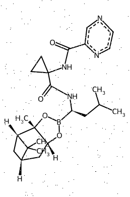 CC(C)C[C@H](NC(=O)C1(NC(=O)c2cnccn2)CC1)B1O[C@@H]2C[C@@H]3C[C@@H](C3(C)C)[C@]2(C)O1